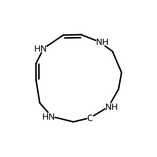 C1=CNC=CNCCCNCCNC1